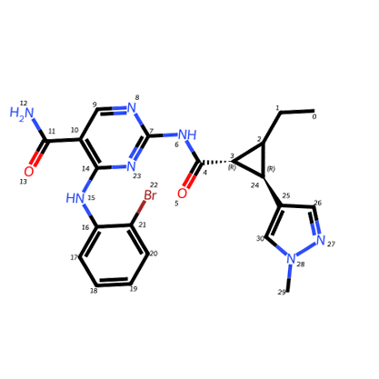 CCC1[C@@H](C(=O)Nc2ncc(C(N)=O)c(Nc3ccccc3Br)n2)[C@@H]1c1cnn(C)c1